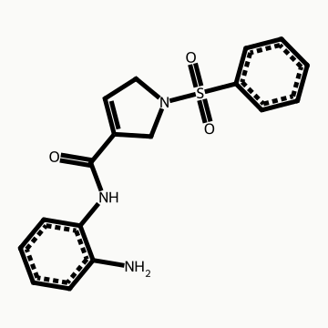 Nc1ccccc1NC(=O)C1=CCN(S(=O)(=O)c2ccccc2)C1